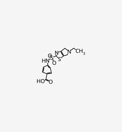 CCN1Cc2nc(S(=O)(=O)Nc3ccc(C(=O)O)cc3)sc2C1